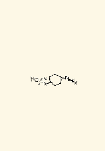 [N-]=[N+]=NC1CCC(NC(=O)O)CC1